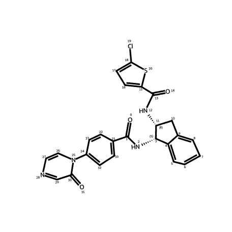 O=C(N[C@H]1c2ccccc2C[C@H]1NC(=O)c1ccc(Cl)s1)c1ccc(-n2ccncc2=O)cc1